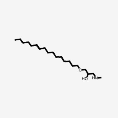 CCCCCCCCCCCCCCCCOCC(O)CNC